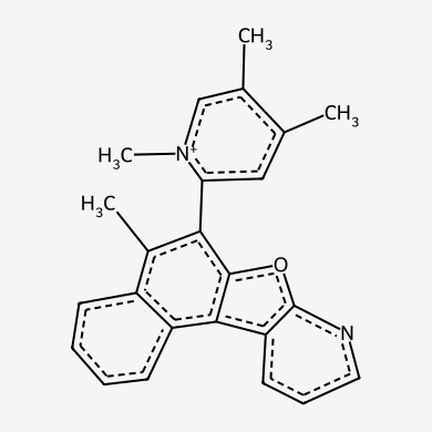 Cc1cc(-c2c(C)c3ccccc3c3c2oc2ncccc23)[n+](C)cc1C